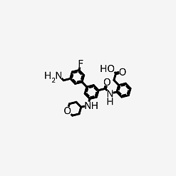 NCc1cc(F)cc(-c2cc(NC3CCOCC3)cc(C(=O)Nc3ccccc3CC(=O)O)c2)c1